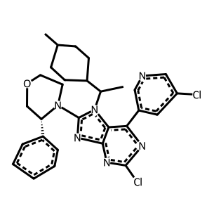 CC1CCC(C(C)n2c(N3CCOC[C@H]3c3ccccc3)nc3nc(Cl)nc(-c4cncc(Cl)c4)c32)CC1